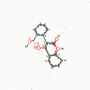 COCc1ccccc1-c1c(O)c2ccccc2oc1=O